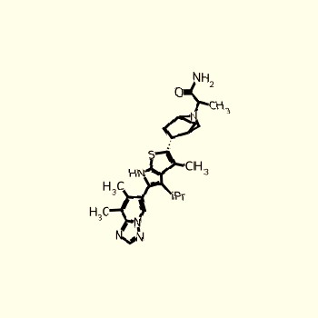 Cc1c(-c2[nH]c3sc([C@@H]4CC5CC4CN5C(C)C(N)=O)c(C)c3c2C(C)C)cn2ncnc2c1C